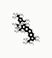 CCC1C=C(C(C)(C)C)C=[C]1[Zr]([C]1=C(C(C)(C)C)c2cc3c(cc2C1(C)C)Cc1cc2c(cc1-3)C(C(C)(C)C)=CC2(C)C)=[C](C)C